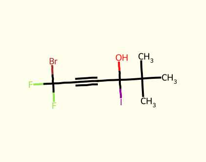 CC(C)(C)C(O)(I)C#CC(F)(F)Br